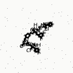 O=c1cc(CC2CCC(CCc3c(Cc4cc(F)cc(F)c4)nc(SCc4n[nH]c(-c5ccccc5)c4Cl)[nH]c3=O)CC2)nc(SCc2n[nH]c(-c3ccc(F)cc3)c2Cl)[nH]1